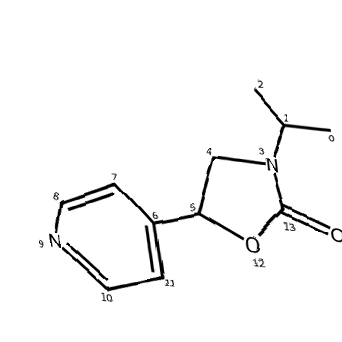 CC(C)N1CC(c2ccncc2)OC1=O